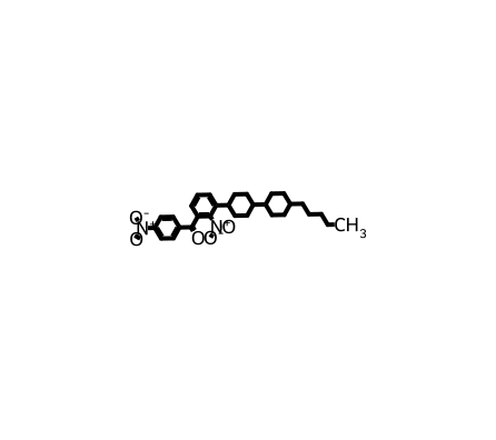 CCCCCC1CCC(C2CCC(c3cccc(C(=O)c4ccc([N+](=O)[O-])cc4)c3[N+](=O)[O-])CC2)CC1